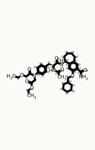 CCOCC(=O)N(CC(=O)OCC)c1ccc(C[C@H](NC(C)=O)C(=O)N[C@H]2CCCCc3cc(C(N)=O)c(OCC4CCCCC4)cc32)cc1